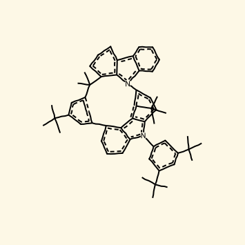 CC(C)(C)c1cc(-n2c3cccc4c3c3c(C(C)(C)C)c(ccc32)-n2c3ccccc3c3cccc(c32)C(C)(C)c2cc-4cc(C(C)(C)C)c2)cc(C(C)(C)C)c1